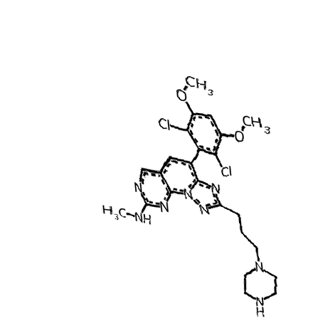 CNc1ncc2cc(-c3c(Cl)c(OC)cc(OC)c3Cl)c3nc(CCCN4CCNCC4)nn3c2n1